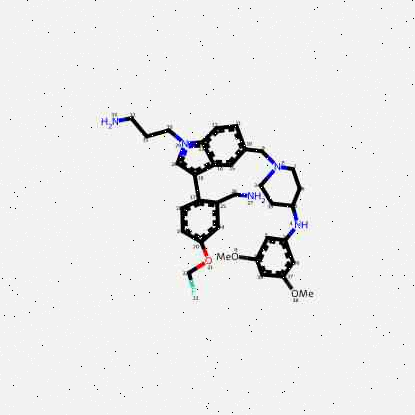 COc1cc(NC2CCN(Cc3ccc4c(c3)c(-c3ccc(OCF)cc3CN)cn4CCCN)CC2)cc(OC)c1